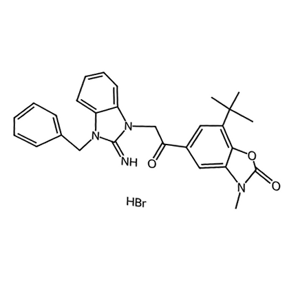 Br.Cn1c(=O)oc2c(C(C)(C)C)cc(C(=O)Cn3c(=N)n(Cc4ccccc4)c4ccccc43)cc21